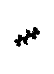 Fc1cccc(-c2cc3cc4c(cc(-c5cccc(F)c5)n4-c4ccc(N(c5ccccc5)c5ccc6c(c5)c5ccccc5n6-c5ccccc5)cc4)cc3n2-c2ccc(N(c3ccccc3)c3ccc4c(c3)c3ccccc3n4-c3ccccc3)cc2)c1